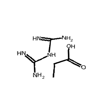 CCC(=O)O.N=C(N)NC(=N)N